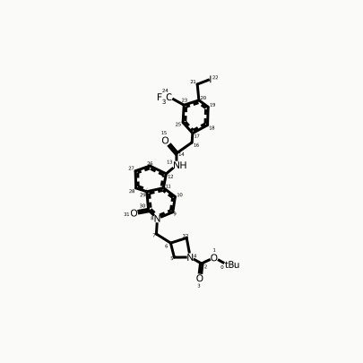 CC(C)(C)OC(=O)N1CC(Cn2ccc3c(NC(=O)Cc4ccc(CI)c(C(F)(F)F)c4)cccc3c2=O)C1